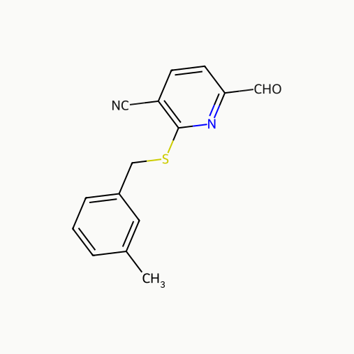 Cc1cccc(CSc2nc(C=O)ccc2C#N)c1